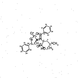 CC(C)CC(N[C@@H](C)P(=O)(OCc1ccccc1)OCc1ccccc1)C(=O)O